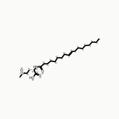 CCCCCCCCC=CCCCCCCCC(=O)N[C@@H](CC[S+](C)[O-])C(=O)O